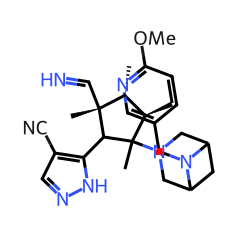 COc1ccc(CN2C3CC2CN(C2(C)C(c4[nH]ncc4C#N)[C@](C)(C=N)[C@H](C)[C@H]2C)C3)cn1